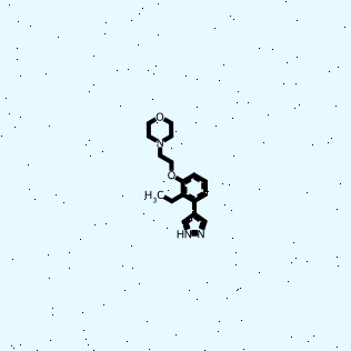 CCc1c(OCCN2CCOCC2)[c]ccc1-c1cn[nH]c1